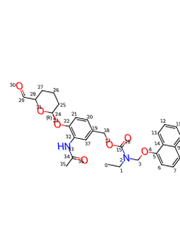 CCN(COc1cccc2ccccc12)C(=O)OCc1ccc(O[C@@H]2CCCC(C=O)O2)c(NC(C)=O)c1